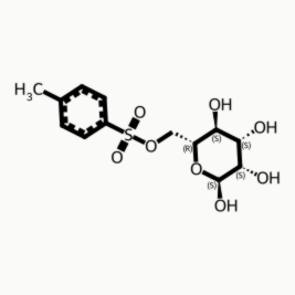 Cc1ccc(S(=O)(=O)OC[C@H]2O[C@H](O)[C@@H](O)[C@@H](O)[C@@H]2O)cc1